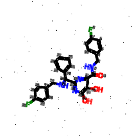 O=C(NCc1ccc(F)cc1)c1nc(C(NCc2ccc(F)cc2)c2ccccc2)nc(O)c1O